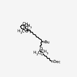 CCCCCCCCCCCCCCCCOC(C)(C)COCCCC(CCCC)CCCCCCCCCC(=O)ON1C(C)(C)CCCC1(C)C